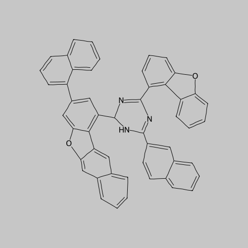 c1ccc2cc(C3=NC(c4cccc5oc6ccccc6c45)=NC(c4cc(-c5cccc6ccccc56)cc5oc6cc7ccccc7cc6c45)N3)ccc2c1